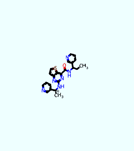 CCC(NC(=O)c1nc(N[C@@H](C)c2cccnc2)nc2ccsc12)c1cccnc1